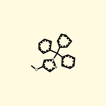 COc1cnn(C(c2ccccc2)(c2ccccc2)c2ccccc2)c1